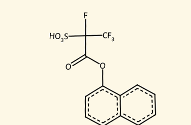 O=C(Oc1cccc2ccccc12)C(F)(C(F)(F)F)S(=O)(=O)O